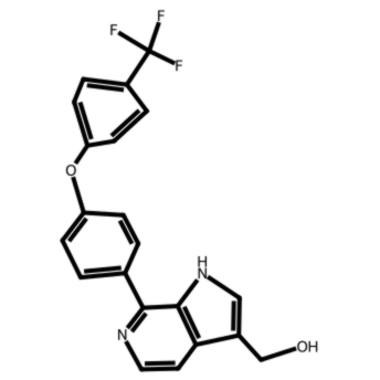 OCc1c[nH]c2c(-c3ccc(Oc4ccc(C(F)(F)F)cc4)cc3)nccc12